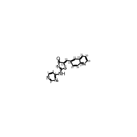 O=C1N=C(Nc2ccncn2)S/C1=C\c1ccc2ncccc2c1